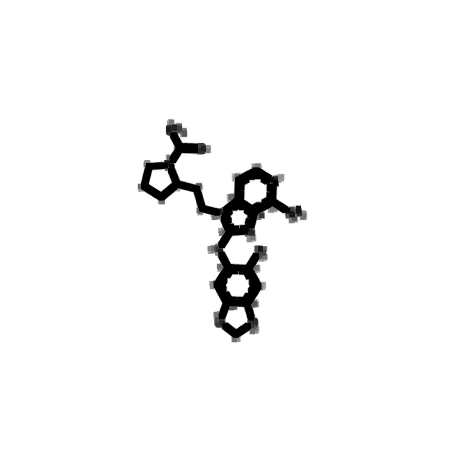 CC(=O)N1CCCC1CCn1c(Sc2cc3c(cc2Br)OCO3)nc2c(N)nccc21